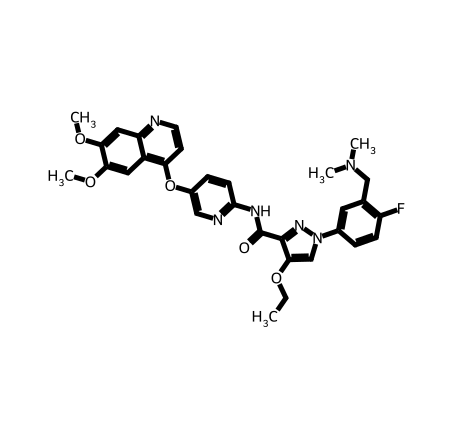 CCOc1cn(-c2ccc(F)c(CN(C)C)c2)nc1C(=O)Nc1ccc(Oc2ccnc3cc(OC)c(OC)cc23)cn1